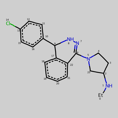 CCNC1CCN(C2=NNC(c3ccc(Cl)cc3)c3ccccc32)C1